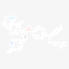 CC#CC(CC(=O)O)c1ccc(O[C@@H](Cc2ccc(C)nc2)c2ccc3cc[nH]c3c2C)cc1